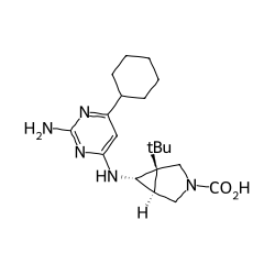 CC(C)(C)[C@@]12CN(C(=O)O)C[C@H]1[C@@H]2Nc1cc(C2CCCCC2)nc(N)n1